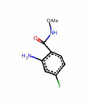 CONC(=O)c1ccc(F)cc1N